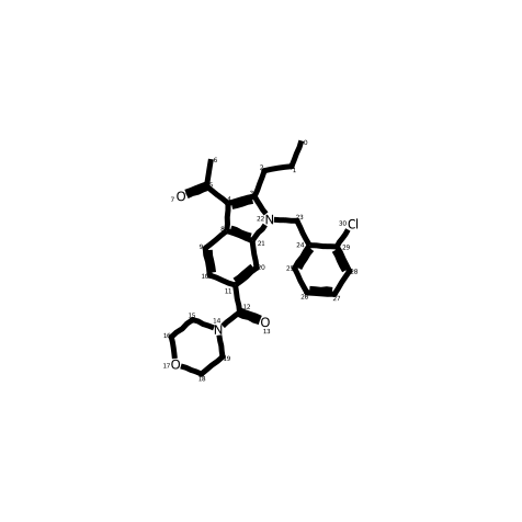 CCCc1c(C(C)=O)c2ccc(C(=O)N3CCOCC3)cc2n1Cc1ccccc1Cl